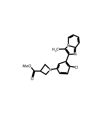 COC(=O)C1CN(c2ccc(Cl)c(-c3nc4ccccn4c3C)c2)C1